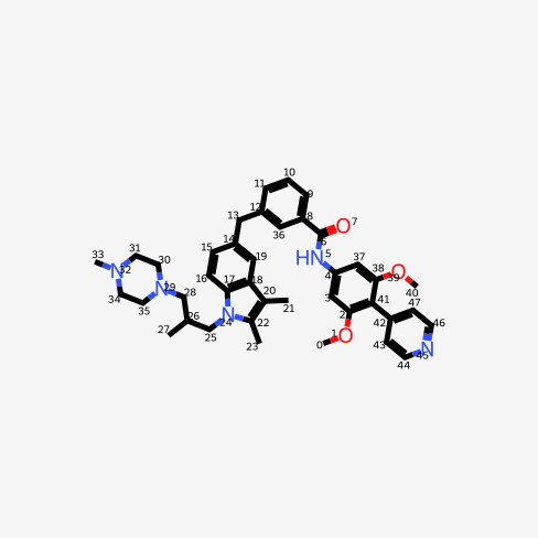 COc1cc(NC(=O)c2cccc(Cc3ccc4c(c3)c(C)c(C)n4CC(C)CN3CCN(C)CC3)c2)cc(OC)c1-c1ccncc1